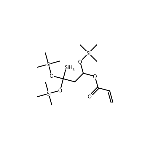 C=CC(=O)OC(CC([SiH3])(O[Si](C)(C)C)O[Si](C)(C)C)O[Si](C)(C)C